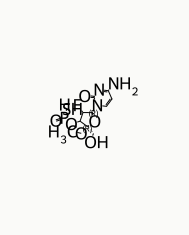 CO[C@]1(CO)O[C@@H](n2ccc(N)nc2=O)C(F)C1O[PH](=O)S